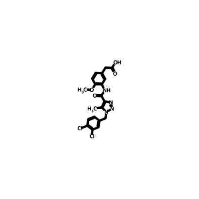 COc1ccc(CC(=O)O)cc1NC(=O)c1nnn(Cc2ccc(Cl)c(Cl)c2)c1C